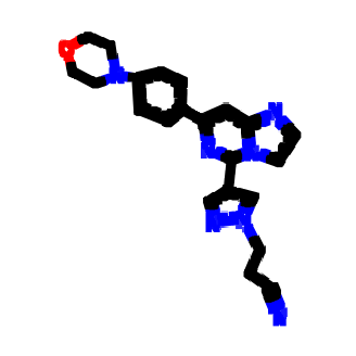 N#CCCn1cc(-c2nc(-c3ccc(N4CCOCC4)cc3)cc3nccn23)cn1